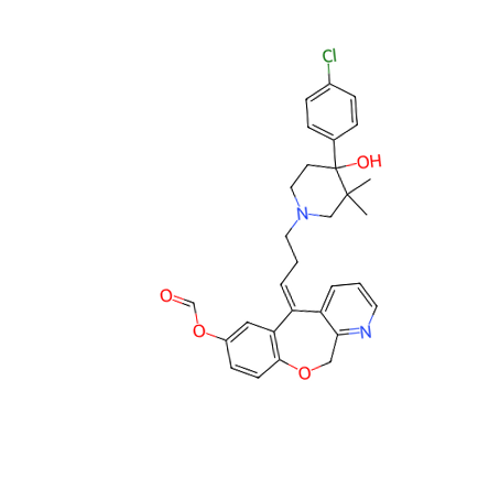 CC1(C)CN(CC/C=C2/c3cc(OC=O)ccc3OCc3ncccc32)CCC1(O)c1ccc(Cl)cc1